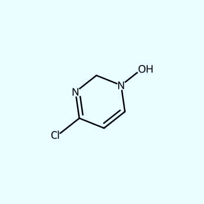 ON1C=CC(Cl)=NC1